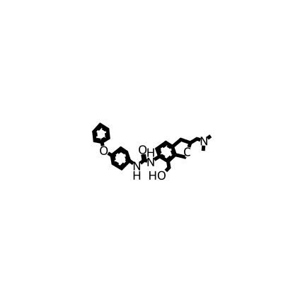 CN(C)CC1CCc2c(ccc(NC(=O)Nc3ccc(Oc4ccccc4)cc3)c2CO)C1